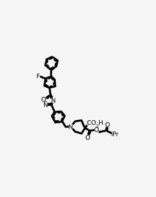 CC(C)C(=O)COC(=O)C1(C(=O)O)CCN(Cc2ccc(-c3noc(-c4ccc(-c5ccccc5)c(F)c4)n3)cc2)CC1